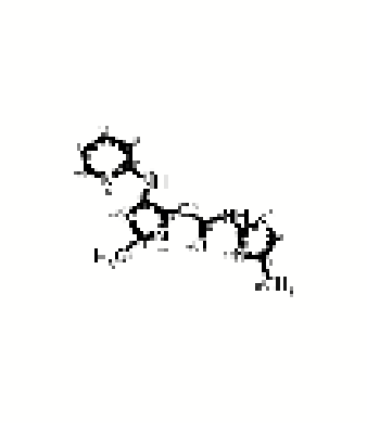 Cc1csc(NC(=O)Oc2nc(C)sc2Nc2ccccn2)n1